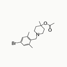 CC(=O)OC1(C)CCN(Cc2c(C)cc(Br)cc2C)CC1